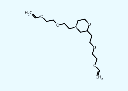 C=COCCOCCC1CN(CCOCCOC=C)CCO1